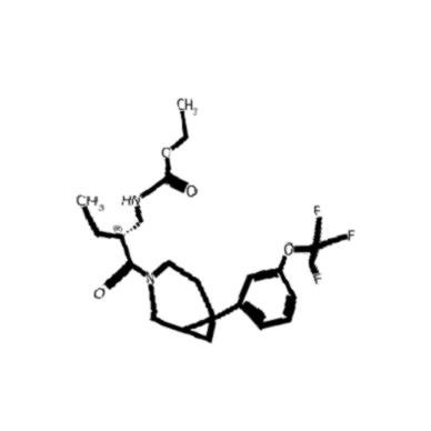 CCOC(=O)NC[C@@H](CC)C(=O)N1CCC2(c3cccc(OC(F)(F)F)c3)CC2C1